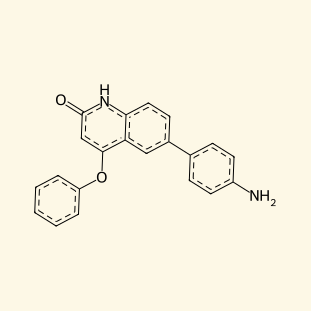 Nc1ccc(-c2ccc3[nH]c(=O)cc(Oc4ccccc4)c3c2)cc1